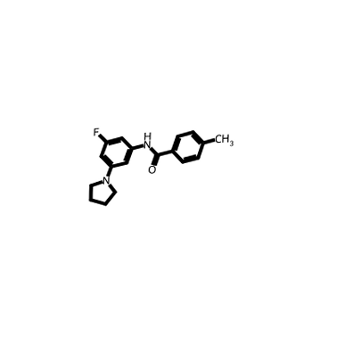 Cc1ccc(C(=O)Nc2cc(F)cc(N3CCCC3)c2)cc1